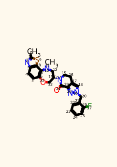 Cc1nc2ccc3c(c2s1)N(C)C[C@H](N1CCc2cn(Cc4ccccc4F)nc2C1=O)CO3